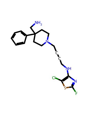 NCC1(c2ccccc2)CCN(CCCCNc2nc(F)sc2Cl)CC1